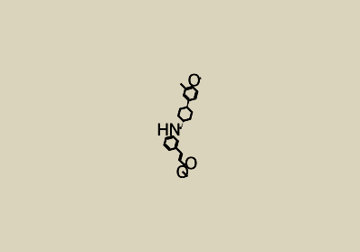 COC(=O)/C=C/c1cccc(NC[C@H]2CC[C@H](c3ccc(OC)c(C)c3)CC2)c1